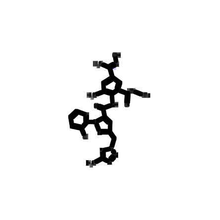 C/C(=N\O)c1cc(C)c(NC(=O)c2cc(Cn3nnc(C)n3)nn2-c2ncccc2Cl)c(C(=O)NC(C)(C)C)c1